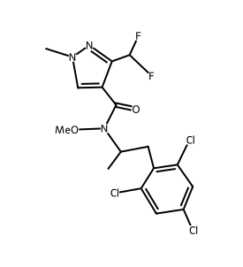 CON(C(=O)c1cn(C)nc1C(F)F)C(C)Cc1c(Cl)cc(Cl)cc1Cl